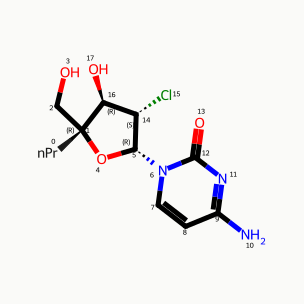 CCC[C@]1(CO)O[C@@H](n2ccc(N)nc2=O)[C@@H](Cl)[C@@H]1O